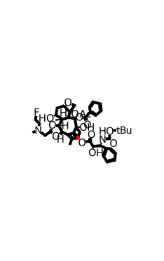 CC(=O)O[C@@]12COC1C[C@H](O)[C@@]1(C)[C@@H]3OC(CN(C)CCF)O[C@@H]3C3=C(C)[C@@H](OC(=O)[C@H](O)[C@@H](NC(=O)OC(C)(C)C)c4ccccc4)C[C@@](O)([C@@H](OC(=O)c4ccccc4)[C@@H]12)C3(C)C